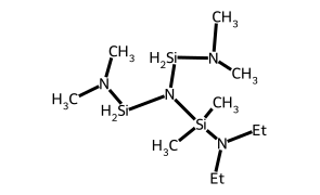 CCN(CC)[Si](C)(C)N([SiH2]N(C)C)[SiH2]N(C)C